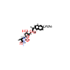 COc1ccc2cc([C@@H](C)C(=O)OC[C@H]3O[C@@H](n4cc(C)c(=O)[nH]c4=O)C[C@@H]3O)ccc2c1